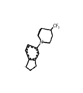 FC(F)(F)C1CCN(c2ccc3c(c2)CC[CH]3)CC1